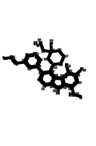 C/N=C/c1cncc(-c2cnc3[nH]c4c(NC)cc(F)c(F)c4c3c2N2CCCC(F)(CN)C2)c1